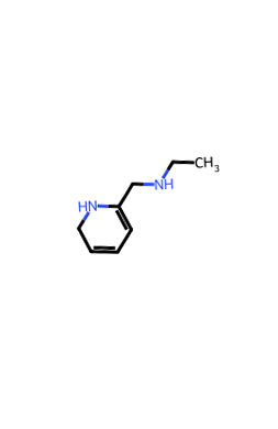 CCNCC1=CC=CCN1